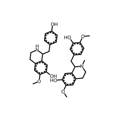 COc1cc2c(cc1O)C(Cc1ccc(O)cc1)NCC2.COc1ccc(CC2c3cc(O)c(OC)cc3CCN2C)cc1O